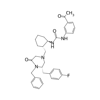 CC(=O)c1cccc(NC(=O)N[C@@H]2CCCC[C@H]2CN2CC(=O)N(Cc3ccccc3)[C@@H](Cc3ccc(F)cc3)C2)c1